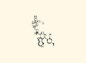 CC1(C)OC[C@H](CONC(=O)c2sc3ccncc3c2Nc2ccc(I)cc2F)O1